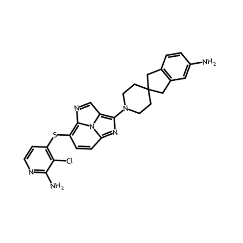 Nc1ccc2c(c1)CC1(CCN(c3nc4ccc(Sc5ccnc(N)c5Cl)c5ncc3n45)CC1)C2